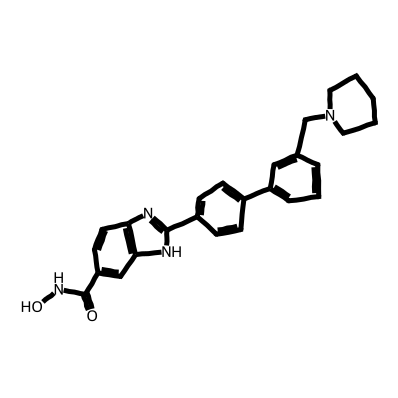 O=C(NO)c1ccc2nc(-c3ccc(-c4cccc(CN5CCCCC5)c4)cc3)[nH]c2c1